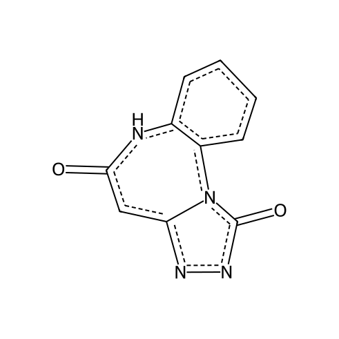 O=c1cc2nnc(=O)n-2c2ccccc2[nH]1